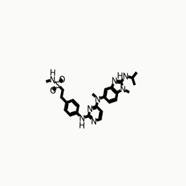 CNS(=O)(=O)CCc1ccc(Nc2nccc(N(C)c3ccc4c(c3)nc(NC(C)C)n4C)n2)cc1